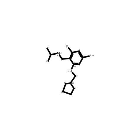 CC(C)NCc1c(F)cc(F)cc1OCC1CCCC1